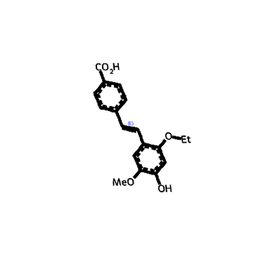 CCOc1cc(O)c(OC)cc1/C=C/c1ccc(C(=O)O)cc1